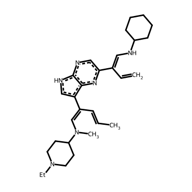 C=C/C(=C\NC1CCCCC1)c1cnc2[nH]cc(C(/C=C/C)=C/N(C)C3CCN(CC)CC3)c2n1